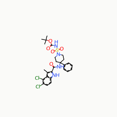 Cc1c(C(=O)NC2(c3ccccc3)CCN(S(=O)(=O)NC(=O)OC(C)(C)C)CC2)[nH]c2ccc(Cl)c(Cl)c12